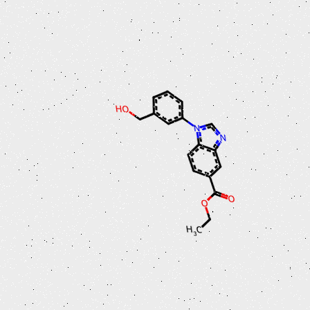 CCOC(=O)c1ccc2c(c1)ncn2-c1cccc(CO)c1